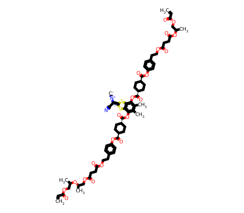 [C-]#[N+]/C(C#N)=C1/Sc2c(OC(=O)[C@H]3CC[C@H](C(=O)Oc4ccc(CCOC(=O)CCC(=O)OCC(C)OC(C)COC(=O)C=C)cc4)CC3)c(C)c(C)c(OC(=O)[C@H]3CC[C@H](C(=O)Oc4ccc(CCOC(=O)CCC(=O)OC(C)COC(=O)C=C)cc4)CC3)c2S1